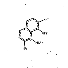 CNc1c(C(C)C)ccc2ccc(C(C)C)c(C(C)C)c12